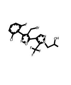 CC(O)Cn1ncc(-c2onc(-c3c(F)cccc3Cl)c2CBr)c1C(F)(F)F